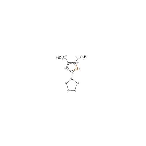 O=C(O)c1cc(C2CCCC2)sc1C(=O)O